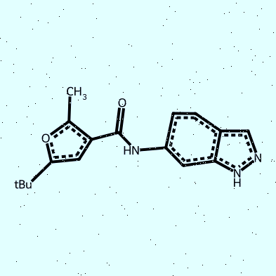 Cc1oc(C(C)(C)C)cc1C(=O)Nc1ccc2cn[nH]c2c1